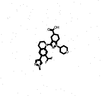 Cn1cc(-c2cc3c(cc2C(F)F)N(c2nn(C4CCOCC4)c4c2CC(C(=O)O)CC4)CCC3)cn1